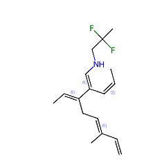 C=C/C(C)=C/CC(=C\C)/C(/C=C\C)=C/NCC(C)(F)F